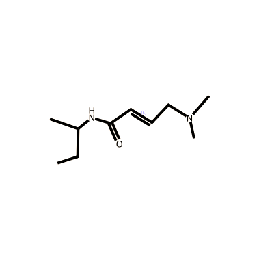 CCC(C)NC(=O)/C=C/CN(C)C